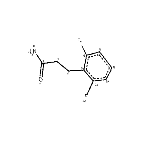 NC(=O)CCc1c(F)cccc1F